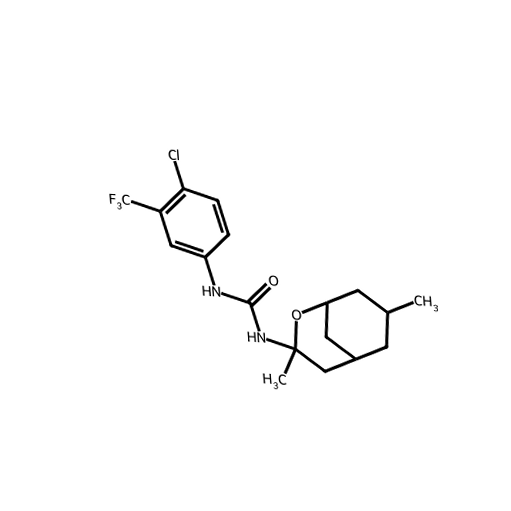 CC1CC2CC(C1)OC(C)(NC(=O)Nc1ccc(Cl)c(C(F)(F)F)c1)C2